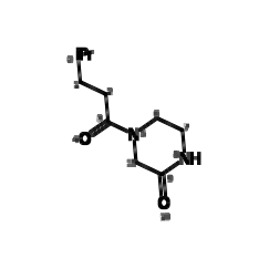 CC(C)CCC(=O)N1CCNC(=O)C1